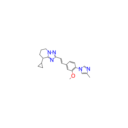 COc1cc(C=Cc2nc3n(n2)CCCC3C2CC2)ccc1-n1cnc(C)c1